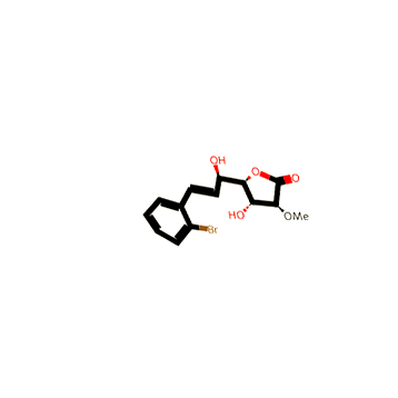 CO[C@H]1C(=O)O[C@@H]([C@H](O)/C=C/c2ccccc2Br)[C@H]1O